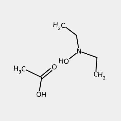 CC(=O)O.CCN(O)CC